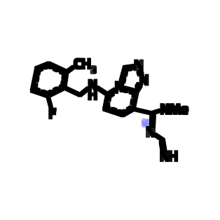 CN/C(=N\C=N)c1ccc(NCc2c(C)cccc2F)n2cnnc12